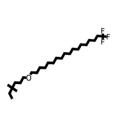 CCC(C)(C)CCCOCCCCCCCCCCCCCCCCCC(F)(F)F